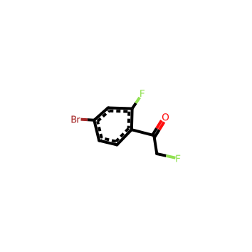 O=C(CF)c1ccc(Br)cc1F